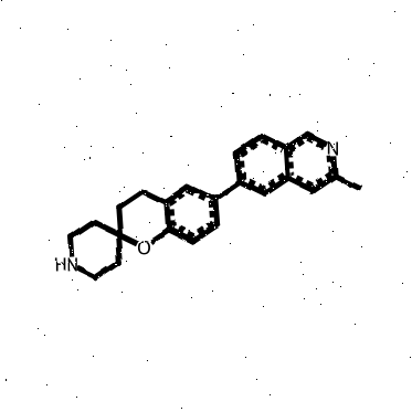 Cc1cc2cc(-c3ccc4c(c3)CCC3(CCNCC3)O4)ccc2cn1